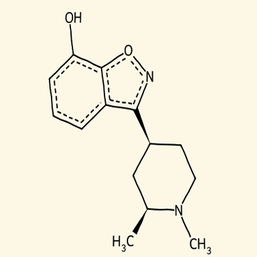 C[C@H]1C[C@@H](c2noc3c(O)cccc23)CCN1C